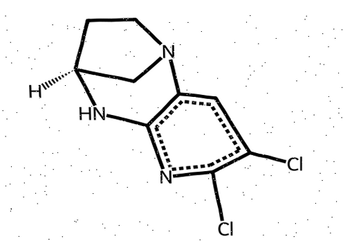 Clc1cc2c(nc1Cl)N[C@H]1CCN2C1